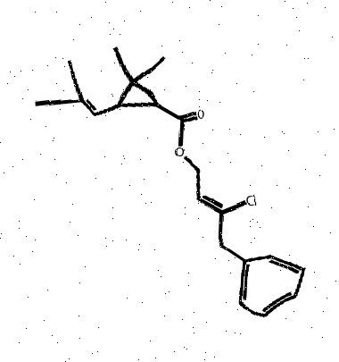 CC(C)=CC1C(C(=O)OCC=C(Cl)Cc2ccccc2)C1(C)C